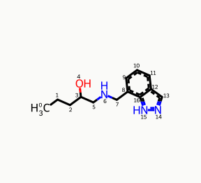 CCCC(O)CNCc1cccc2cn[nH]c12